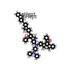 CCCCCCCC1(CCCCCCC)c2ccccc2-c2ccc(-c3ccc4c(c3)C(C)(C)c3cc(-c5cc6c(c7c5oc5ccccc57)-c5ccc(N(c7ccc(N(c8ccccc8)c8ccccc8)cc7)c7ccc8c(c7)C(C)(C)c7c9c(c%10oc%11ccccc%11c%10c7-8)-c7ccccc7C9(C)C)cc5C6(C)C)ccc3-4)cc21